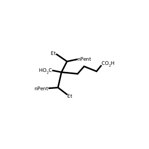 CCCCCC(CC)C(CCCC(=O)O)(C(=O)O)C(CC)CCCCC